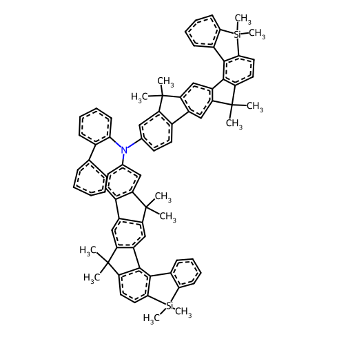 CC1(C)c2cc(N(c3ccc4c(c3)C(C)(C)c3cc5c(cc3-4)C(C)(C)c3ccc4c(c3-5)-c3ccccc3[Si]4(C)C)c3ccccc3-c3ccccc3)ccc2-c2cc3c(cc21)-c1c(ccc2c1-c1ccccc1[Si]2(C)C)C3(C)C